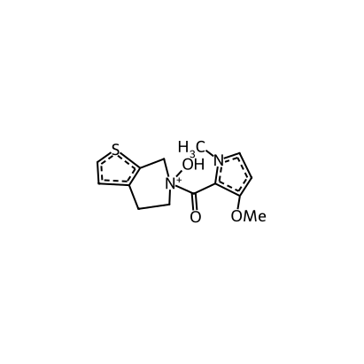 COc1ccn(C)c1C(=O)[N+]1(O)CCc2ccsc2C1